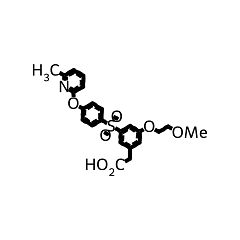 COCCOc1cc(CC(=O)O)cc(S(=O)(=O)c2ccc(Oc3cccc(C)n3)cc2)c1